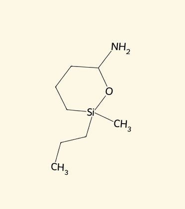 CCC[Si]1(C)CCCC(N)O1